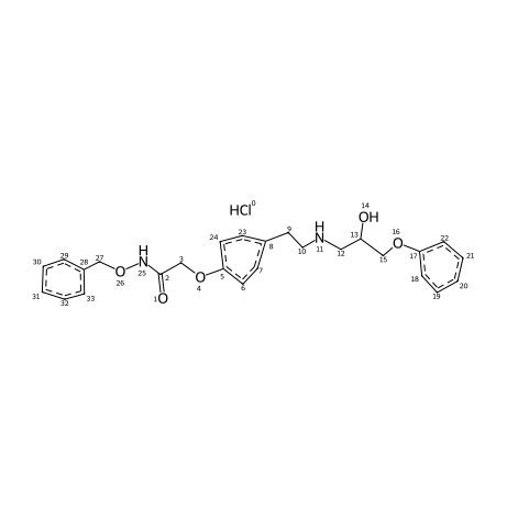 Cl.O=C(COc1ccc(CCNCC(O)COc2ccccc2)cc1)NOCc1ccccc1